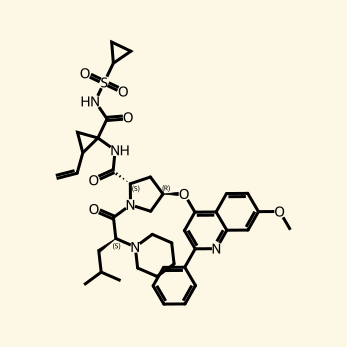 C=CC1CC1(NC(=O)[C@@H]1C[C@@H](Oc2cc(-c3ccccc3)nc3cc(OC)ccc23)CN1C(=O)[C@H](CC(C)C)N1CCCCC1)C(=O)NS(=O)(=O)C1CC1